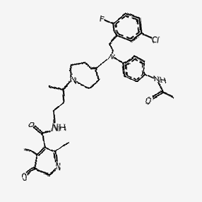 CC(=O)Nc1ccc(N(Cc2cc(Cl)ccc2F)C2CCN(C(C)CCNC(=O)C3=C(C)C(=O)CN=C3C)CC2)cc1